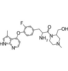 Cc1c[nH]c2nccc(Oc3ccc(CC(N)C(=O)N4CCN(C)CC4CO)cc3F)c12